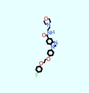 O=C(NCCN1CCOCC1)c1ccc2c(c1)ncn2-c1ccc(OCCOc2ccc(F)cc2)cc1